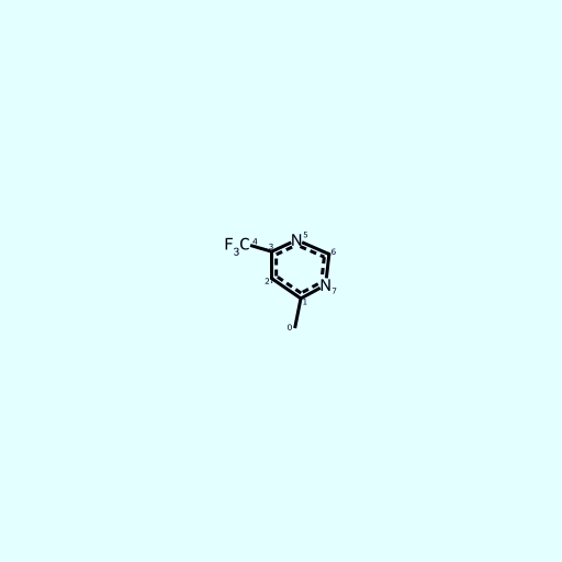 Cc1[c]c(C(F)(F)F)ncn1